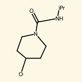 CC(C)NC(=O)N1CCC([O])CC1